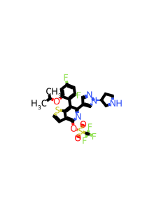 CC(C)Oc1cc(F)cc(F)c1-c1c(-c2cnn([C@H]3CCNC3)c2)nc(OS(=O)(=O)C(F)(F)F)c2ccsc12